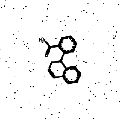 NC(=O)c1ccccc1C1CC=Cc2ccccc21